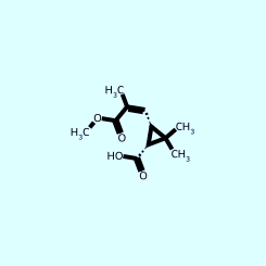 COC(=O)/C(C)=C\[C@H]1[C@@H](C(=O)O)C1(C)C